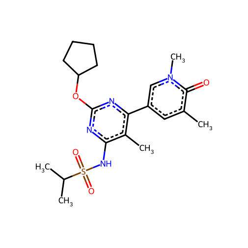 Cc1c(NS(=O)(=O)C(C)C)nc(OC2CCCC2)nc1-c1cc(C)c(=O)n(C)c1